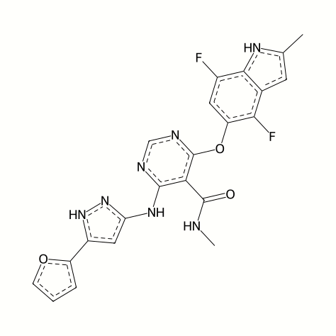 CNC(=O)c1c(Nc2cc(-c3ccco3)[nH]n2)ncnc1Oc1cc(F)c2[nH]c(C)cc2c1F